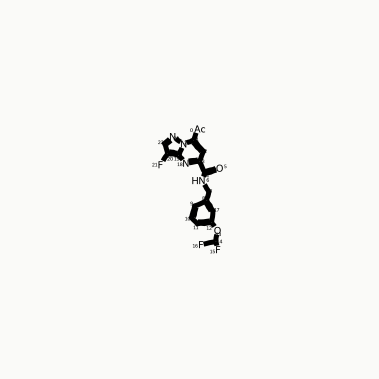 CC(=O)c1cc(C(=O)NCc2cccc(OC(F)F)c2)nc2c(F)cnn12